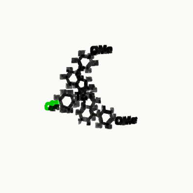 COc1ccc(-c2cccc3c2C=C(C)[CH]3[Ti+2]2([CH]3C(C)=Cc4c(-c5ccc(OC)cc5)cccc43)[CH]3CCCC[CH]32)cc1.[Cl-].[Cl-]